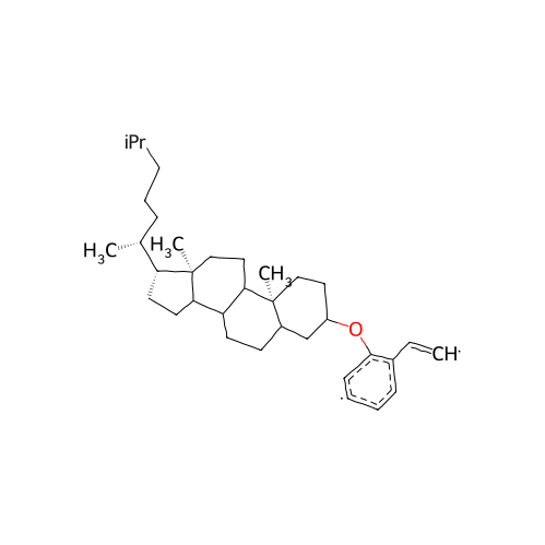 [CH]=Cc1cc[c]cc1OC1CC[C@@]2(C)C(CCC3C2CC[C@@]2(C)C3CC[C@@H]2[C@H](C)CCCC(C)C)C1